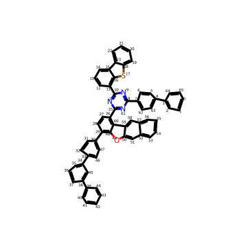 c1ccc(-c2ccc(-c3nc(-c4cccc5c4sc4ccccc45)nc(-c4ccc(-c5ccc(-c6cccc(-c7ccccc7)c6)cc5)c5oc6cc7ccccc7cc6c45)n3)cc2)cc1